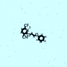 N#Cc1ccc(C(F)(F)F)nc1OCCOc1ccccc1